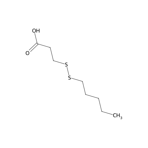 CCCCCSSCCC(=O)O